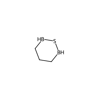 B1CCCBS1